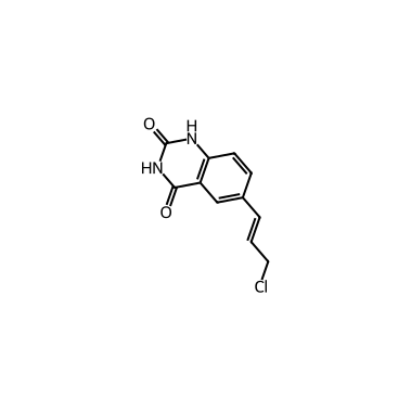 O=c1[nH]c(=O)c2cc(C=CCCl)ccc2[nH]1